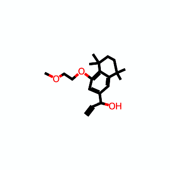 C#C[C](O)c1cc(OCCOC)c2c(c1)C(C)(C)CCC2(C)C